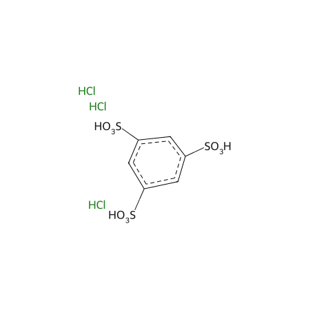 Cl.Cl.Cl.O=S(=O)(O)c1cc(S(=O)(=O)O)cc(S(=O)(=O)O)c1